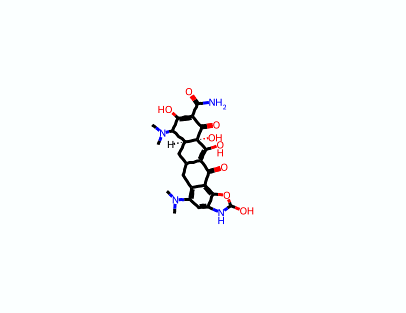 CN(C)c1cc2c(c3c1CC1C[C@H]4C(N(C)C)C(O)=C(C(N)=O)C(=O)[C@@]4(O)C(O)=C1C3=O)OC(O)N2